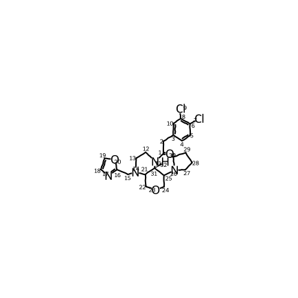 O=C(Cc1ccc(Cl)c(Cl)c1)N1CCN(Cc2ncco2)C2COCC(N3CCCC3)[C@H]21